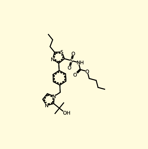 CCCCOC(=O)NS(=O)(=O)c1sc(CCC)nc1-c1ccc(Cn2ccnc2C(C)(C)O)cc1